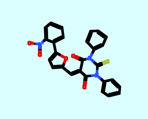 O=C1C(=Cc2ccc(-c3ccccc3[N+](=O)[O-])o2)C(=O)N(c2ccccc2)C(=S)N1c1ccccc1